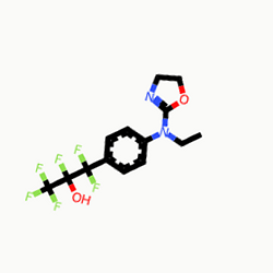 CCN(C1=NCCO1)c1ccc(C(F)(F)C(O)(F)C(F)(F)F)cc1